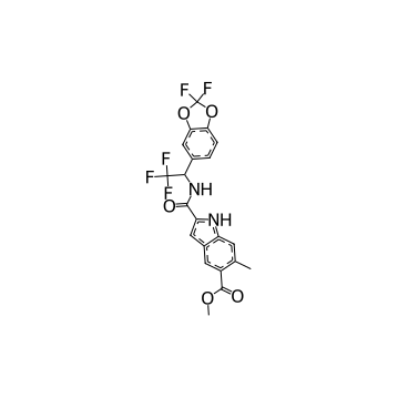 COC(=O)c1cc2cc(C(=O)NC(c3ccc4c(c3)OC(F)(F)O4)C(F)(F)F)[nH]c2cc1C